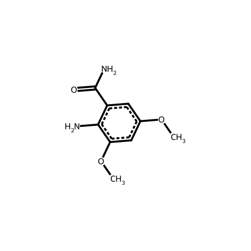 COc1cc(OC)c(N)c(C(N)=O)c1